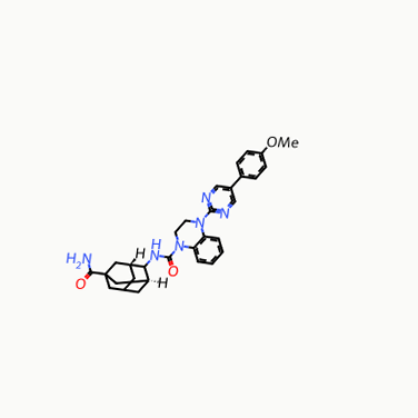 COc1ccc(-c2cnc(N3CCN(C(=O)NC4[C@@H]5CC6C[C@H]4CC(C(N)=O)(C6)C5)c4ccccc43)nc2)cc1